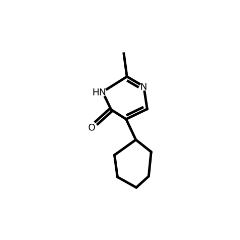 Cc1ncc(C2CCCCC2)c(=O)[nH]1